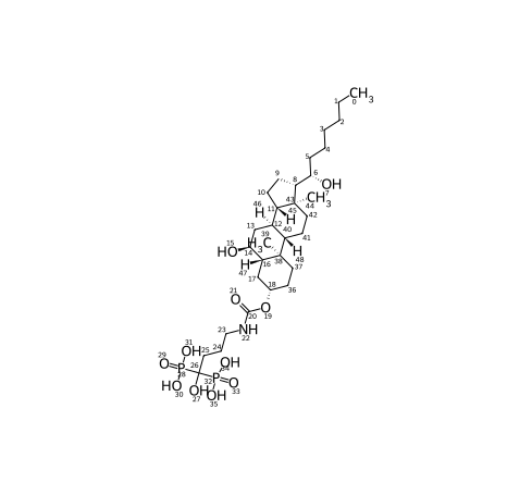 CCCCCC[C@H](O)[C@H]1CC[C@H]2[C@@H]3C[C@H](O)[C@H]4C[C@@H](OC(=O)NCCCC(O)(P(=O)(O)O)P(=O)(O)O)CC[C@]4(C)[C@H]3CC[C@]12C